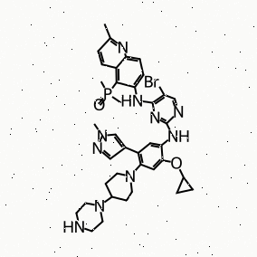 Cc1ccc2c(P(C)(C)=O)c(Nc3nc(Nc4cc(-c5cnn(C)c5)c(N5CCC(N6CCNCC6)CC5)cc4OC4CC4)ncc3Br)ccc2n1